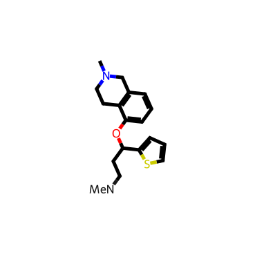 CNCCC(Oc1cccc2c1CCN(C)C2)c1cccs1